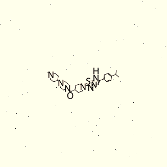 CC(C)c1ccc(C2=CN3N=C(N4CCC(C(=O)N5CCN(C6CCN(C)CC6)CC5)CC4)SC3N2)cc1